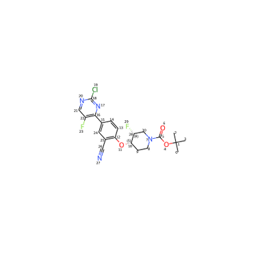 CC(C)(C)OC(=O)N1CC[C@H](Oc2ccc(-c3nc(Cl)ncc3F)cc2C#N)[C@H](F)C1